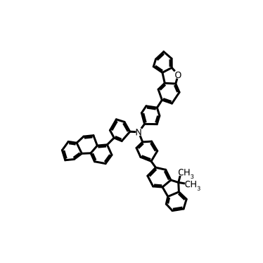 CC1(C)c2ccccc2-c2ccc(-c3ccc(N(c4ccc(-c5ccc6oc7ccccc7c6c5)cc4)c4cccc(-c5cccc6c5ccc5ccccc56)c4)cc3)cc21